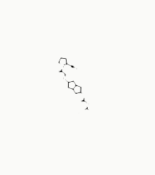 CC(C)NC(=O)OC1CC2CC(NCC(=O)N3CCCC3C#N)CC2C1